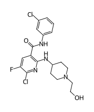 O=C(Nc1cccc(Cl)c1)c1cc(F)c(Cl)nc1NC1CCN(CCO)CC1